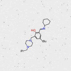 CC(C)CN1CCN(Cc2cc(C(C)(C)C)cc(/C=N/C3CCCCC3)c2O)CC1